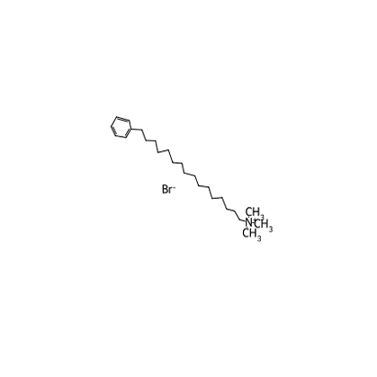 C[N+](C)(C)CCCCCCCCCCCCCCCCc1ccccc1.[Br-]